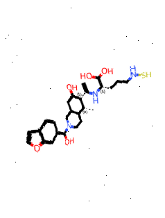 C=C(N[C@@H](CCCNS)C(O)O)[C@H]1C(O)CC2CN(C(O)C3CCC4C=COC4C3)CCC2[C@H]1C